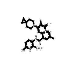 Cc1cc([C@@H](C)Nc2ccc(Cl)nc2C(=O)O)c2cc(N3CCC4(CC3)CC4)c(C)c(=O)n2c1